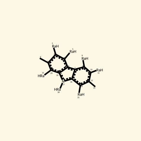 Cc1[c]([RaH])[c]([RaH])c2c3[c]([RaH])[c]([RaH])c(C)[c]([RaH])c3[n]([RaH])c2[c]1[RaH]